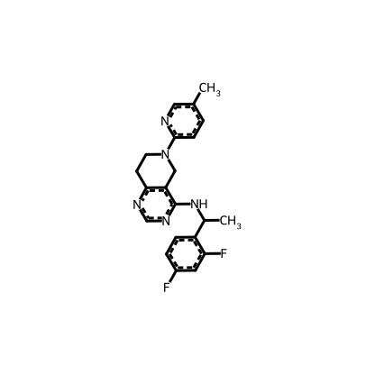 Cc1ccc(N2CCc3ncnc(NC(C)c4ccc(F)cc4F)c3C2)nc1